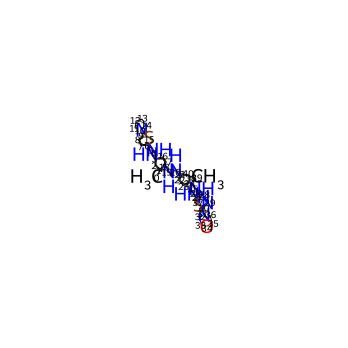 Cc1cc(NNc2ccc(N3CCCC3)s2)ccc1NNc1ccc(NNc2nnc(N3CCOCC3)s2)c(C)c1